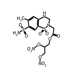 Cc1cc2c(cc1S(N)(=O)=O)S(=O)(=O)N(CC(=O)OCC(CO[N+](=O)[O-])O[N+](=O)[O-])CN2